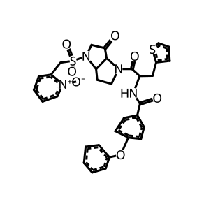 O=C(NC(Cc1cccs1)C(=O)N1CCC2C1C(=O)CN2S(=O)(=O)Cc1cccc[n+]1[O-])c1ccc(Oc2ccccc2)cc1